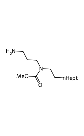 CCCCCCCCCN(CCCN)C(=O)OC